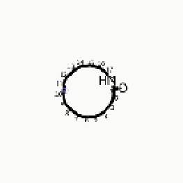 O=C1CCCCCCCC/C=C\CCCCCCN1